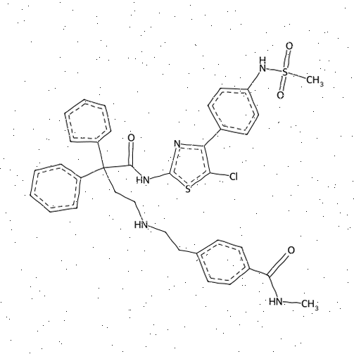 CNC(=O)c1ccc(CCNCCC(C(=O)Nc2nc(-c3ccc(NS(C)(=O)=O)cc3)c(Cl)s2)(c2ccccc2)c2ccccc2)cc1